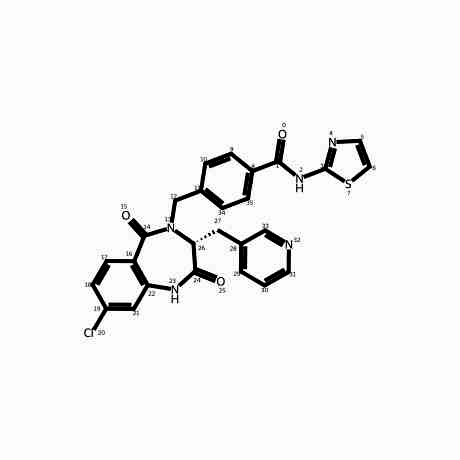 O=C(Nc1nccs1)c1ccc(CN2C(=O)c3ccc(Cl)cc3NC(=O)[C@H]2Cc2cccnc2)cc1